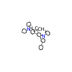 CC1(C)c2cc(N(c3ccccc3)c3ccccc3)ccc2-c2cc3c4cc(-c5ccccc5)ccc4n(-c4ccccc4)c3cc21